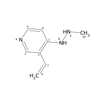 C=Cc1cnccc1NNC